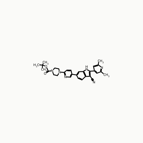 Cc1cc(-c2[nH]c3cc(-c4ccc(N5CCN(C(=O)OC(C)(C)C)CC5)nc4)ccc3c2C#N)cc(C)n1